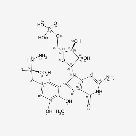 C[C@@](Cc1ccc(O)c(O)c1)(NN)C(=O)O.Nc1nc2c(ncn2[C@@H]2O[C@H](COP(=O)(O)O)[C@@H](O)[C@H]2O)c(=O)[nH]1.O